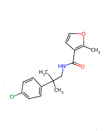 Cc1occc1C(=O)NCC(C)(C)c1ccc(Cl)cc1